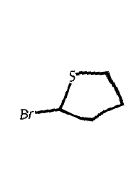 BrC1CCCS1